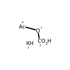 CC(=O)OC(=O)O.[KH]